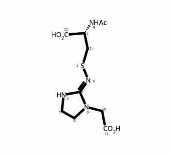 CC(=O)N[C@H](CS/N=C1\NCCN1CC(=O)O)C(=O)O